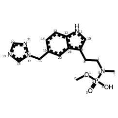 COP(=O)(O)N(C)CCc1c[nH]c2ccc(Cn3cncn3)cc12